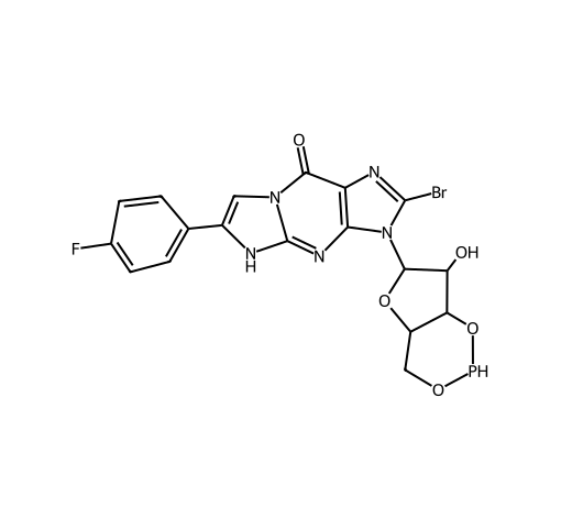 O=c1c2nc(Br)n(C3OC4COPOC4C3O)c2nc2[nH]c(-c3ccc(F)cc3)cn12